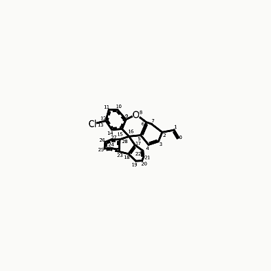 C=CC1C=CC2=C(C1)Oc1ccc(Cl)cc1C21C2=C(CCC=C2)c2ccccc21